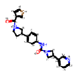 O=C(Nc1ccc(C2CCN(C(=O)c3ccsc3)C2)cc1)N1CC(c2cccnc2)C1